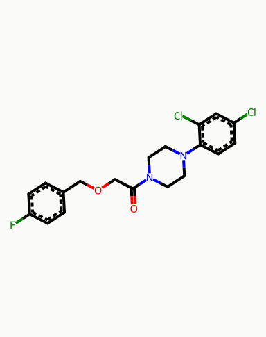 O=C(COCc1ccc(F)cc1)N1CCN(c2ccc(Cl)cc2Cl)CC1